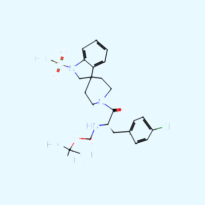 CC(C)(C)OC(=O)N[C@H](Cc1ccc(Cl)cc1)C(=O)N1CCC2(CC1)CN(S(C)(=O)=O)c1ccccc12